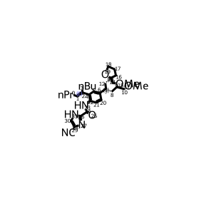 CCC/C=C(\CCCC)c1cc([C@@H](CCCOC)C[C@@]2(COC)CCCO2)ccc1NC(=O)c1nc(C#N)c[nH]1